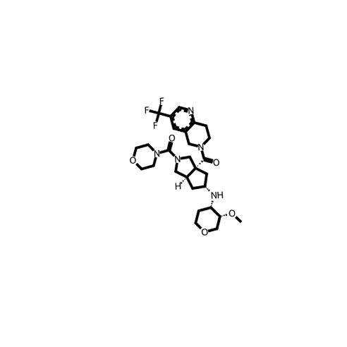 CO[C@@H]1COCC[C@@H]1N[C@@H]1C[C@H]2CN(C(=O)N3CCOCC3)C[C@@]2(C(=O)N2CCc3ncc(C(F)(F)F)cc3C2)C1